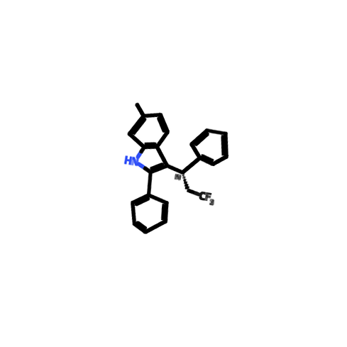 Cc1ccc2c([C@@H](CC(F)(F)F)c3ccccc3)c(-c3ccccc3)[nH]c2c1